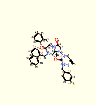 C#CCN(C(=O)NCc1ccc(F)cc1)N1CC(=O)N2[C@@H](Cc3ccccc3)C(=O)N(Cc3cccc4ccccc34)C[C@@H]21